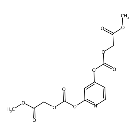 COC(=O)COC(=O)Oc1ccnc(OC(=O)OCC(=O)OC)c1